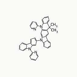 CC1(C)c2ccccc2N(c2ccccn2)c2cc3c(cc21)c1ccccc1n3-c1ccc2c3ccccc3n(-c3ccccn3)c2c1